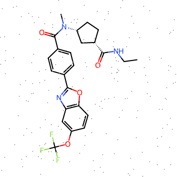 CCNC(=O)[C@H]1CC[C@@H](N(C)C(=O)c2ccc(-c3nc4cc(OC(F)(F)F)ccc4o3)cc2)C1